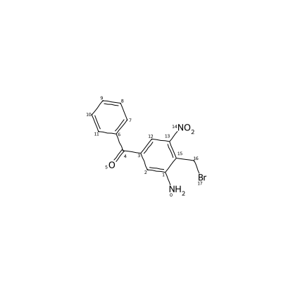 Nc1cc(C(=O)c2ccccc2)cc([N+](=O)[O-])c1CBr